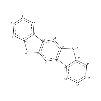 c1ccc2c(c1)Cc1cc3c(cc1-2)[N]c1ccccc1-3